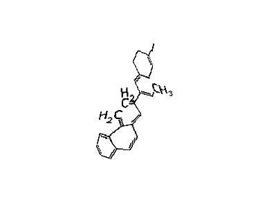 C=C(/C=c1/ccc2ccccc2c1=C)C(/C=C1\CC=C(I)CC1)=C/C